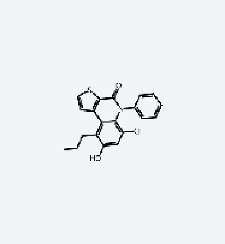 CCCc1c(O)cc(Cl)c2c1c1ccsc1c(=O)n2-c1ccccc1